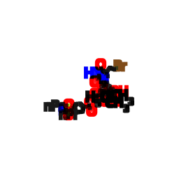 CCCN(CCC)S(=O)(=O)c1ccc(C(=O)OCC(=O)C(O)[C@H]2O[C@@H](n3cc(C=CBr)c(=O)[nH]c3=O)C[C@@]2(O)[Si](C)(C)C)cc1